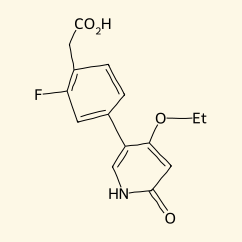 CCOc1cc(=O)[nH]cc1-c1ccc(CC(=O)O)c(F)c1